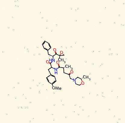 COc1ccc(CC(NC(=O)[C@H](C)CC(=O)CN2CCO[C@@H](C)C2)C(=O)N[C@@H](Cc2ccccc2)C(=O)[C@@]2(C)CO2)cc1